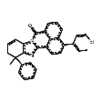 C/C=C(\C=C/CC)c1ccc2c3c1cccc3c(=O)n1c3c(nc21)C(C)(c1ccccc1)CC=C3